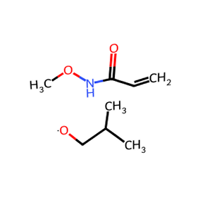 C=CC(=O)NOC.CC(C)C[O]